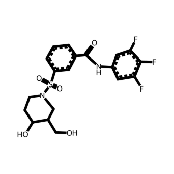 O=C(Nc1cc(F)c(F)c(F)c1)c1cccc(S(=O)(=O)N2CCC(O)C(CO)C2)c1